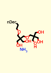 CCCCCCCCCCCCOCC(CO)(CO)COCC(CO)(CO)CO.N